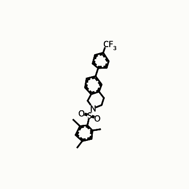 Cc1cc(C)c(S(=O)(=O)N2CCc3cc(-c4ccc(C(F)(F)F)cc4)ccc3C2)c(C)c1